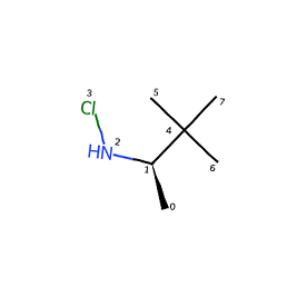 C[C@@H](NCl)C(C)(C)C